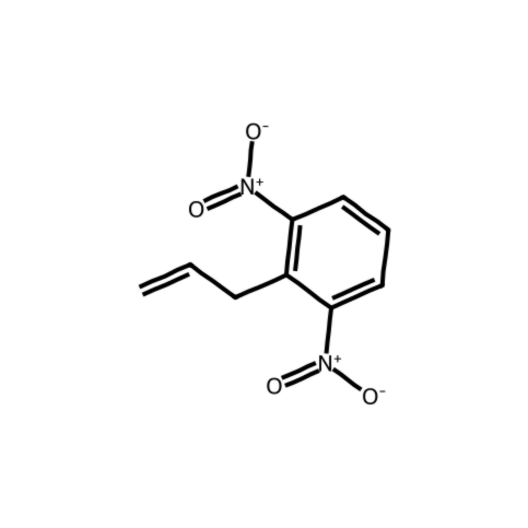 C=CCc1c([N+](=O)[O-])cccc1[N+](=O)[O-]